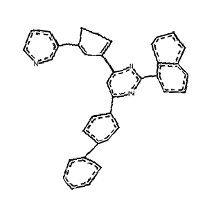 C1=C(c2cccnc2)CCC=C1c1cc(-c2ccc(-c3ccccc3)cc2)nc(-c2cccc3ccccc23)n1